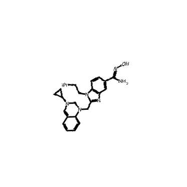 CC(C)CCn1c(CN2CN(C3CC3)C=C3C=CC=CC32)nc2cc(C(N)=NO)ccc21